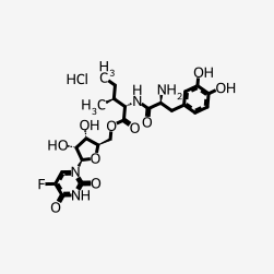 CC[C@H](C)[C@H](NC(=O)[C@@H](N)Cc1ccc(O)c(O)c1)C(=O)OC[C@H]1O[C@@H](n2cc(F)c(=O)[nH]c2=O)[C@H](O)[C@@H]1O.Cl